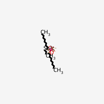 CCCCCCCCCCS(CCCCCCCCCC)=P([O-])([O-])[S-].CCC[CH2][Sn+3]